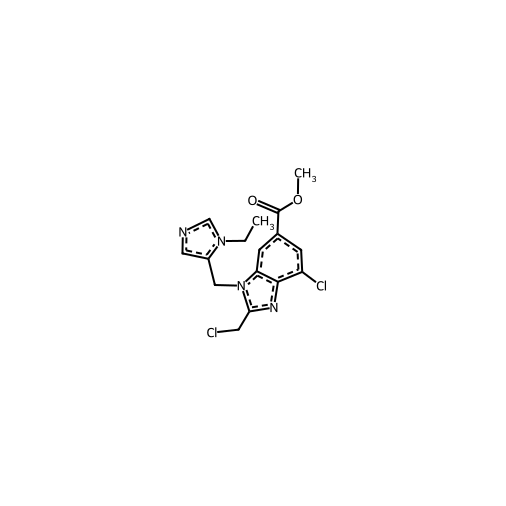 CCn1cncc1Cn1c(CCl)nc2c(Cl)cc(C(=O)OC)cc21